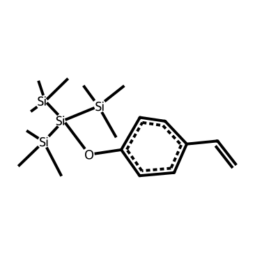 C=Cc1ccc(O[Si]([Si](C)(C)C)([Si](C)(C)C)[Si](C)(C)C)cc1